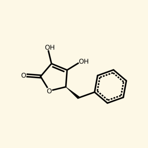 O=C1O[C@H](Cc2ccccc2)C(O)=C1O